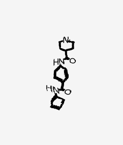 O=C(Nc1ccccc1)c1ccc(NC(=O)C2CC[N]CC2)cc1